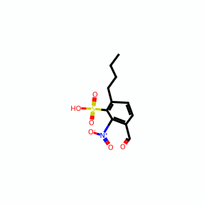 CCCCc1ccc(C=O)c([N+](=O)[O-])c1S(=O)(=O)O